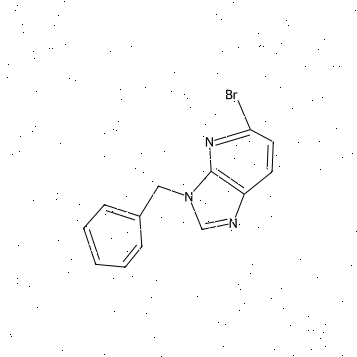 Brc1ccc2ncn(Cc3ccccc3)c2n1